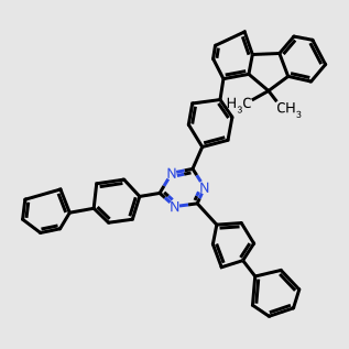 CC1(C)c2ccccc2-c2cccc(-c3ccc(-c4nc(-c5ccc(-c6ccccc6)cc5)nc(-c5ccc(-c6ccccc6)cc5)n4)cc3)c21